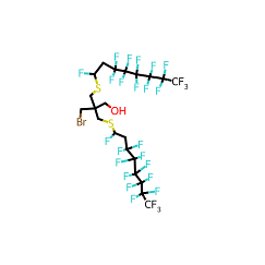 OCC(CBr)(CSC(F)CC(F)(F)C(F)(F)C(F)(F)C(F)(F)C(F)(F)C(F)(F)F)CSC(F)CC(F)(F)C(F)(F)C(F)(F)C(F)(F)C(F)(F)C(F)(F)F